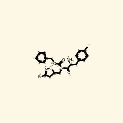 N[C@@H](Cc1ccc(I)cc1)C(=O)N(CC1CC(Br)=NO1)C(=O)OCc1ccccc1